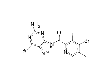 Cc1cnc(C(=O)n2cnc3c(Br)nc(N)nc32)c(C)c1Br